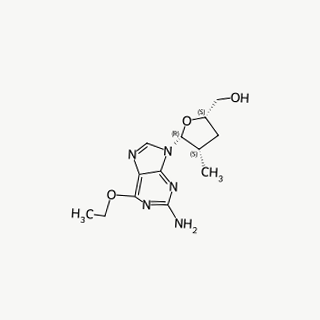 CCOc1nc(N)nc2c1ncn2[C@@H]1O[C@H](CO)C[C@@H]1C